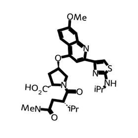 CNC(=O)C[C@H](C(=O)N1C[C@H](Oc2cc(-c3csc(NC(C)C)n3)nc3cc(OC)ccc23)C[C@H]1C(=O)O)C(C)C